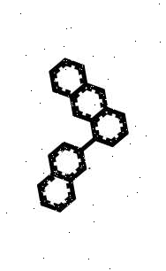 [c]1c(-c2cccc3cc4ccccc4cc23)ccc2ccccc12